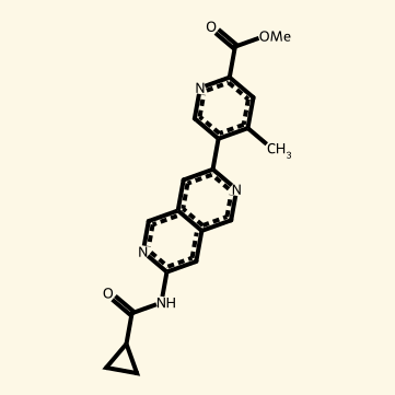 COC(=O)c1cc(C)c(-c2cc3cnc(NC(=O)C4CC4)cc3cn2)cn1